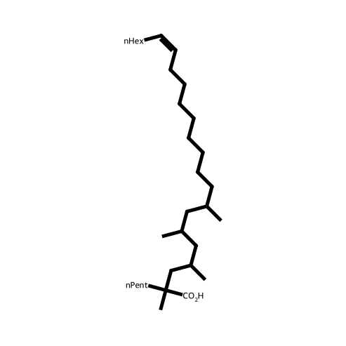 CCCCCC/C=C\CCCCCCCCC(C)CC(C)CC(C)CC(C)(CCCCC)C(=O)O